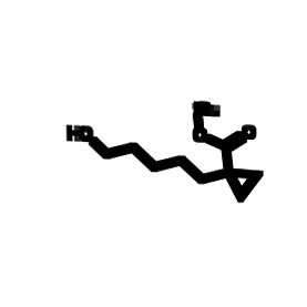 CC(C)(C)OC(=O)C1(CCCCCO)CC1